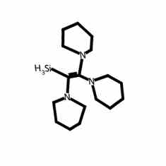 [SiH3]C(=C(N1CCCCC1)N1CCCCC1)N1CCCCC1